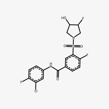 O=C(Nc1ccc(F)c(Cl)c1)c1ccc(F)c(S(=O)(=O)N2CC(O)C(F)C2)c1